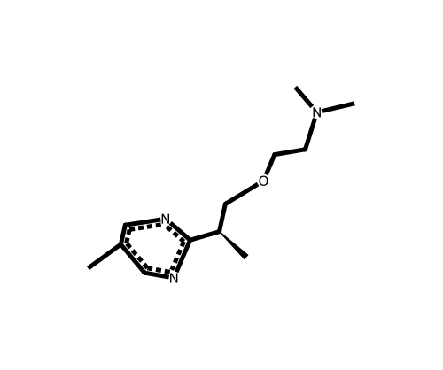 Cc1cnc([C@H](C)COCCN(C)C)nc1